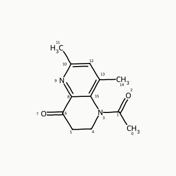 CC(=O)N1CCC(=O)c2nc(C)cc(C)c21